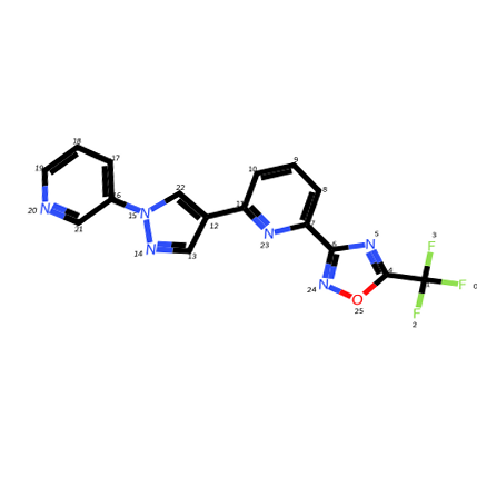 FC(F)(F)c1nc(-c2cccc(-c3cnn(-c4cccnc4)c3)n2)no1